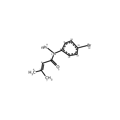 CCCN(C(=O)C=C(C)C)c1ccc(Br)cc1